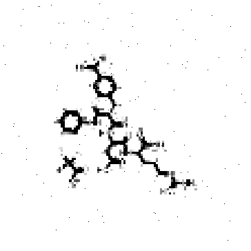 N=C(N)NCCCC(NC(=O)C(CC(=O)O)NC(=O)[C@H](Cc1ccc(C(=N)N)cc1)C(=O)Nc1ccccc1)C(N)=O.O=C(O)C(F)(F)F